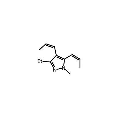 C/C=C\c1c(CC)nn(C)c1/C=C\C